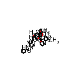 COc1ccc(C(OC[C@]23O[C@@H](n4cnc5c(NC(=O)c6ccccc6)ncnc54)[C@H](O[C@H]2C)[C@@H]3OP(OCCC#N)N(C(C)C)C(C)C)(c2ccccc2)c2ccc(OC)cc2)cc1